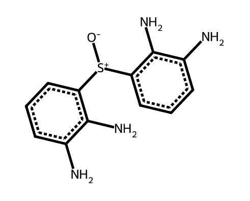 Nc1cccc([S+]([O-])c2cccc(N)c2N)c1N